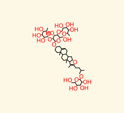 CC1=C(CCC(C)COC2OC(CO)C(O)C(O)C2O)OC2CC3C4CC=C5CC(OC6OC(CO)C(OC7OC(C)C(O)C(O)C7O)C(O)C6OC6OC(C)C(O)C(O)C6O)CCC5(C)C4CCC3(C)C12